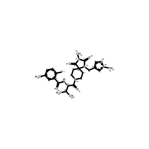 Cc1ccc(F)c(C(=O)N[C@@H](C(=O)N2CCC3(CC2)C(=O)N(C)C(=O)N3Cc2cnn(C)c2)C(C)C)c1